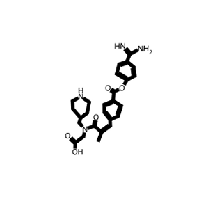 CC(=Cc1ccc(C(=O)Oc2ccc(C(=N)N)cc2)cc1)C(=O)N(CC(=O)O)CC1CCNCC1